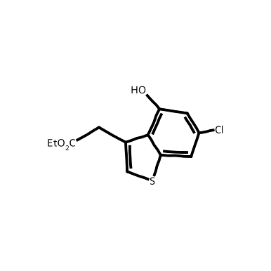 CCOC(=O)Cc1csc2cc(Cl)cc(O)c12